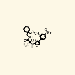 COCC1(CNC(=O)C(C)(C)Nc2nc(-c3ccc([N+](=O)[O-])cc3)co2)CCCCC1